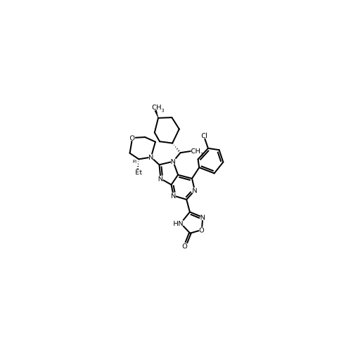 CC[C@@H]1COCCN1c1nc2nc(-c3noc(=O)[nH]3)nc(-c3cccc(Cl)c3)c2n1C(C)[C@H]1CC[C@H](C)CC1